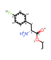 CCOC(=O)[C@H](N)Cc1ccc(F)cc1